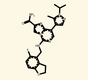 Cc1c(-c2cnc(NCc3c(F)ccc4c3CCO4)n3cc(C(N)=O)nc23)cnn1C(C)C